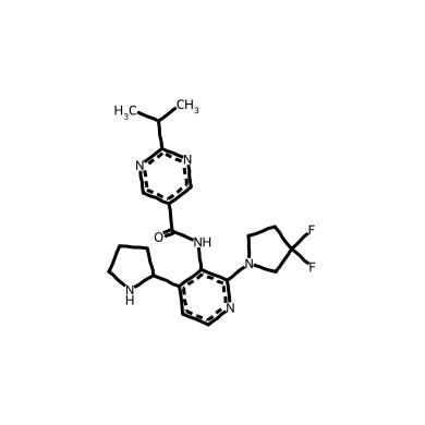 CC(C)c1ncc(C(=O)Nc2c(C3CCCN3)ccnc2N2CCC(F)(F)C2)cn1